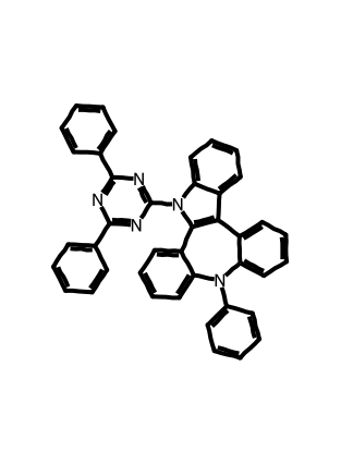 c1ccc(-c2nc(-c3ccccc3)nc(-n3c4c(c5ccccc53)-c3ccccc3N(c3ccccc3)c3ccccc3-4)n2)cc1